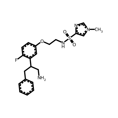 Cn1cnc(S(=O)(=O)NCCOc2ccc(F)c(C(CN)Cc3ccccc3)c2)c1